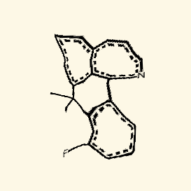 CC1(C)c2c(F)cccc2-c2nccc3cccc1c23